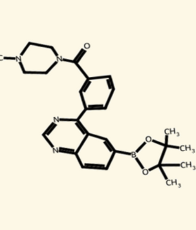 CN1CCN(C(=O)c2cccc(-c3ncnc4ccc(B5OC(C)(C)C(C)(C)O5)cc34)c2)CC1